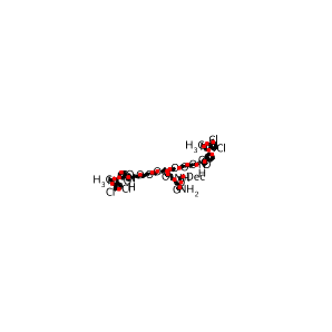 CCCCCCCCCCC(=O)NC(CCC(N)=O)CCC(=O)N(CCOCCOCCOCCNS(=O)(=O)c1cccc([C@@H]2CN(C)Cc3c(Cl)cc(Cl)cc32)c1)CCOCCOCCOCCNS(=O)(=O)c1cccc([C@@H]2CN(C)Cc3c(Cl)cc(Cl)cc32)c1